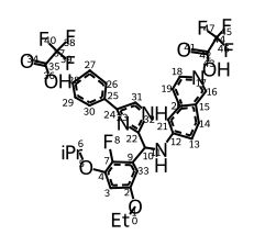 CCOc1cc(OC(C)C)c(F)c(C(Nc2ccc3cnccc3c2)c2nc(-c3ccccc3)c[nH]2)c1.O=C(O)C(F)(F)F.O=C(O)C(F)(F)F